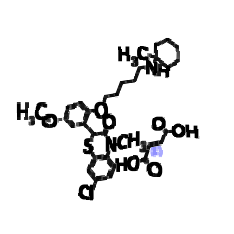 COc1ccc(OCCCCCNC2(C)CCCCC2)c(C2Sc3cc(Cl)ccc3N(C)C2=O)c1.O=C(O)/C=C/C(=O)O